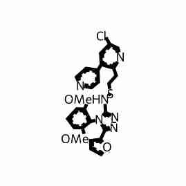 COc1cccc(OC)c1-n1c(NSCCc2ncc(Cl)cc2-c2ccncc2)nnc1-c1ccco1